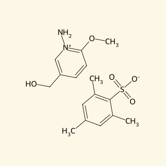 COc1ccc(CO)c[n+]1N.Cc1cc(C)c(S(=O)(=O)[O-])c(C)c1